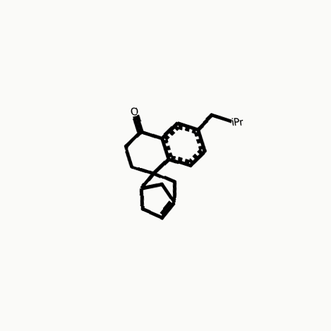 CC(C)Cc1ccc2c(c1)C(=O)CCC21CC2=CCC1C2